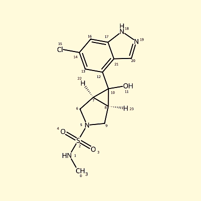 CNS(=O)(=O)N1C[C@@H]2[C@H](C1)C2(O)c1cc(Cl)cc2[nH]ncc12